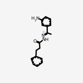 C/C(=N\NC(=O)CCc1ccccc1)c1cccc(N)c1